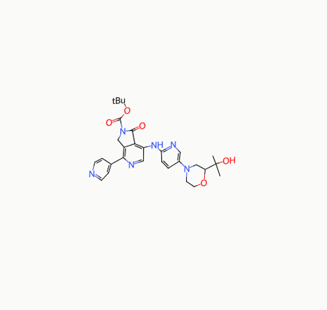 CC(C)(C)OC(=O)N1Cc2c(-c3ccncc3)ncc(Nc3ccc(N4CCOC(C(C)(C)O)C4)cn3)c2C1=O